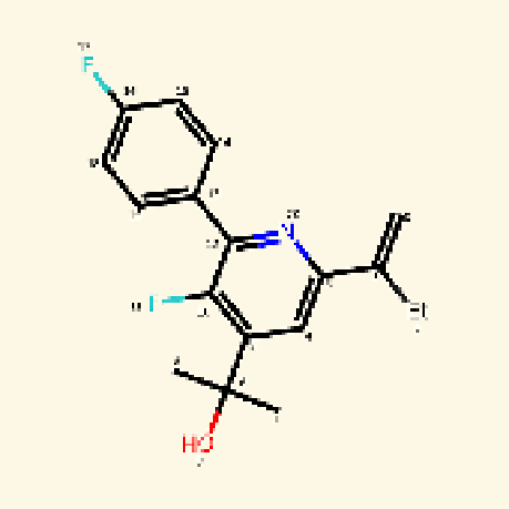 C=C(CC)c1cc(C(C)(C)O)c(F)c(-c2ccc(F)cc2)n1